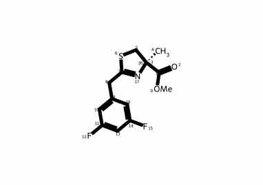 COC(=O)[C@]1(C)CSC(Cc2cc(F)cc(F)c2)=N1